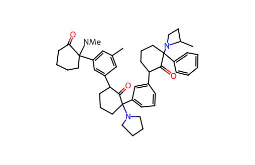 CNC1(c2cc(C)cc(C3CCCC(c4cccc(C5CCCC(c6ccccc6)(N6CCC6C)C5=O)c4)(N4CCCC4)C3=O)c2)CCCCC1=O